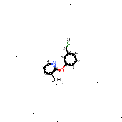 Cc1cccnc1Oc1cccc(CCl)c1